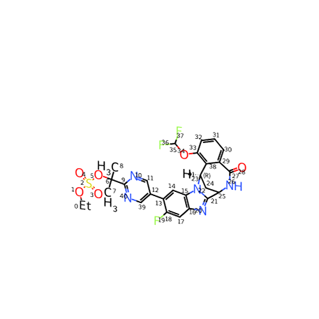 CCOS(=O)(=O)OC(C)(C)c1ncc(-c2cc3c(cc2F)nc2n3[C@@H]3CC2NC(=O)c2cccc(OC(F)F)c23)cn1